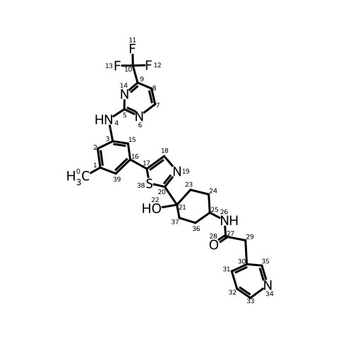 Cc1cc(Nc2nccc(C(F)(F)F)n2)cc(-c2cnc(C3(O)CCC(NC(=O)Cc4cccnc4)CC3)s2)c1